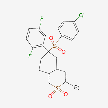 CCC1CC2CC(c3cc(F)ccc3F)(S(=O)(=O)c3ccc(Cl)cc3)CCC2CS1(=O)=O